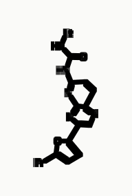 CCNC(=O)Nc1ccc2ncc(-c3ccc(C(C)C)o3)nc2n1